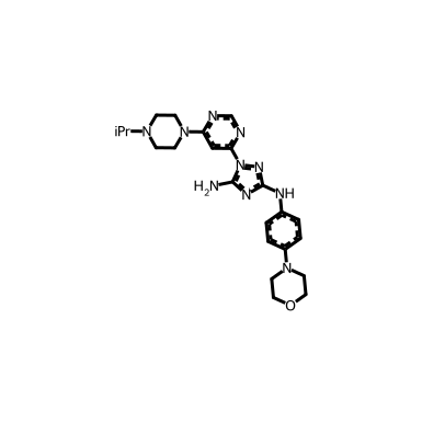 CC(C)N1CCN(c2cc(-n3nc(Nc4ccc(N5CCOCC5)cc4)nc3N)ncn2)CC1